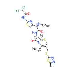 CO/N=C(\C(=O)N[C@@H]1C(=O)N2C(C(=O)O)=C(CSc3nnc(C)s3)CS[C@@H]12)c1csc(NC(=O)C(Cl)Cl)n1